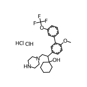 COc1ccc(C(CN2CCNCC2)C2(O)CCCCC2)cc1-c1cccc(OC(F)(F)F)c1.Cl.Cl